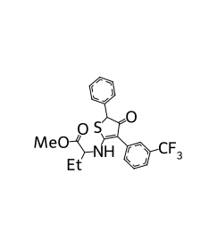 CCC(NC1=C(c2cccc(C(F)(F)F)c2)C(=O)C(c2ccccc2)S1)C(=O)OC